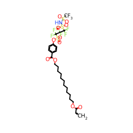 C=CC(=O)OCCCCCCCCCCCCOC(=O)c1ccc(OS(=O)(=O)C(F)(F)C(F)(F)C(F)(F)S(=O)(=O)NS(=O)(=O)C(F)(F)F)cc1